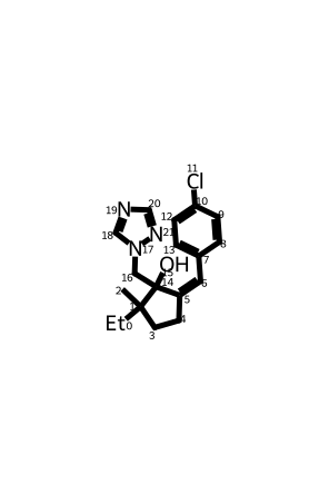 CCC1(C)CCC(=Cc2ccc(Cl)cc2)C1(O)Cn1cncn1